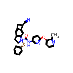 Cc1ncccc1Oc1ccc(NC(=O)[N+]2(Sc3ccccc3)CCc3cc4c(cc32)C(C#N)C4)cn1